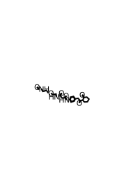 O=CNCCCOCCNC(=O)CC(=O)Nc1ccc(CC(=O)C2CCCCC2=O)cc1